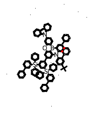 CC(C)(C)c1ccc(N2c3ccc(-c4ccccc4)cc3B3c4ccc(-n5c6ccccc6c6ccccc65)cc4Oc4cc(-c5cc([Si](c6ccccc6)(c6ccccc6)c6cccc(-c7ccccc7)c6)cc([Si](c6ccccc6)(c6ccccc6)c6cccc(-c7ccccc7)c6)c5)cc2c43)c(-c2ccccc2)c1